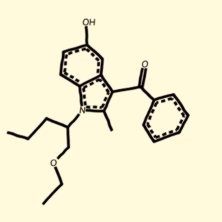 CCCC(COCC)n1c(C)c(C(=O)c2ccccc2)c2cc(O)ccc21